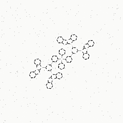 c1ccc(S(c2ccccc2)(c2cccc(-c3nc(-n4c5ccccc5n5c6ccccc6nc45)nc(-n4c5ccccc5n5c6ccccc6nc45)n3)c2)c2cccc(-c3nc(-n4c5ccccc5n5c6ccccc6nc45)nc(-n4c5ccccc5n5c6ccccc6nc45)n3)c2)cc1